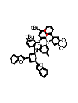 Cc1cc2c3c(c1)N(c1cc4c(cc1-c1ccccc1)OCCO4)c1ccc(C(C)(C)C)cc1B3c1cc(C(C)(C)C)ccc1N2c1cc(-c2cc3ccccc3o2)cc(-c2cc3ccccc3o2)c1